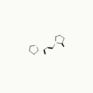 O=C(C=CN1CCCC1=O)[C@@H]1CCCN1